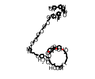 COc1ccc(-c2ccc3ncc4c(c3c2)n(-c2ccc(N3CCN(C(=O)CCOCCOCCOCCOCCOCCOCCn5cc(CCCCO[C@H]6CC[C@H](C[C@@H](N)[C@@H]7CC(=O)[C@H](C)/C=C(\C)[C@@H](O)[C@@H](O)C(=O)[C@H](C)C[C@H](C)/C=C/C=C/C=C(\C)[C@@H](OC)C[C@@H]8CCC[C@@](O)(O8)C(=O)C(=O)N8CCCC[C@H]8C(=O)O7)CC6)nn5)CC3)c(C(F)(F)F)c2)c(=O)n4C)cn1